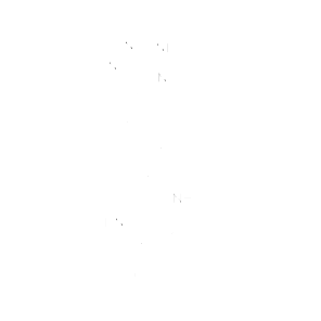 O=C1Nc2ccc(-c3nn[nH]n3)cc2NC12CCCC2